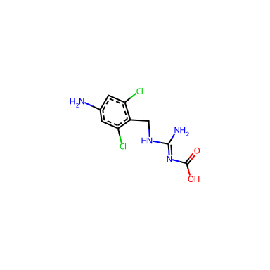 N/C(=N\C(=O)O)NCc1c(Cl)cc(N)cc1Cl